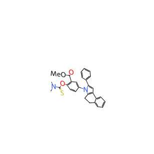 COC(=O)c1cc(-n2c(-c3ccccc3)cc3c2CCc2ccccc2-3)ccc1OC(=S)N(C)C